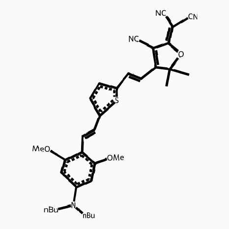 CCCCN(CCCC)c1cc(OC)c(C=Cc2ccc(C=CC3=C(C#N)C(=C(C#N)C#N)OC3(C)C)s2)c(OC)c1